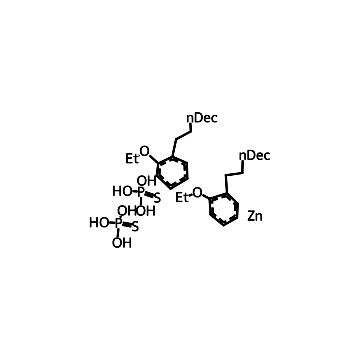 CCCCCCCCCCCCc1ccccc1OCC.CCCCCCCCCCCCc1ccccc1OCC.OP(O)(O)=S.OP(O)(O)=S.[Zn]